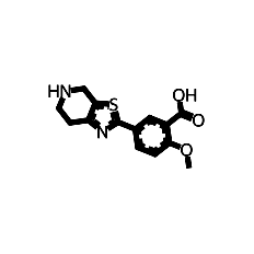 COc1ccc(-c2nc3c(s2)CNCC3)cc1C(=O)O